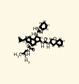 CC(C)CNS(=O)(=O)c1cc2c(c3cnc(C4CC4)cc13)C(Nc1nc3ccccc3[nH]1)CC2NC(=O)NC1COc2ccccc2C1